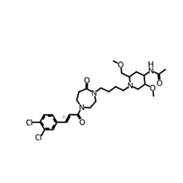 COCC1CC(NC(C)=O)C(OC)CN1CCCCN1CCN(C(=O)/C=C/c2ccc(Cl)c(Cl)c2)CCC1=O